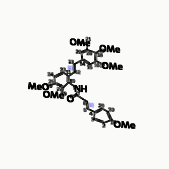 COc1ccc(/C=C/C(=O)Nc2c(/C=C/c3cc(OC)c(OC)c(OC)c3)ccc(OC)c2OC)cc1